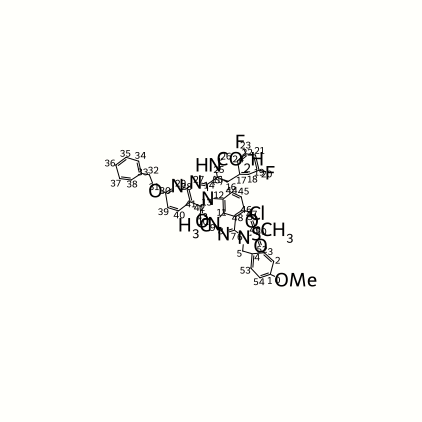 COc1ccc(CN(c2nn(C)c3c(-n4c([C@H](Cc5cc(F)cc(F)c5)NC(=O)O)nc5nc(OCc6ccccc6)ccc5c4=O)ccc(Cl)c23)S(C)(=O)=O)cc1